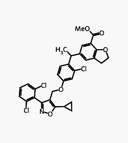 COC(=O)c1cc(C(C)c2ccc(OCc3c(-c4c(Cl)cccc4Cl)noc3C3CC3)cc2Cl)cc2c1OCC2